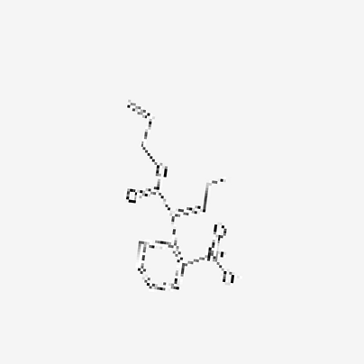 C=CCOC(=O)C(=CCC)c1ccccc1[N+](=O)[O-]